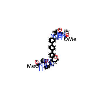 COC(=O)N[C@H](C(=O)NC1(c2nc3ccc(-c4ccc(-c5ccc6c(c5)OCCc5nc([C@@H]7CCCN7C(=O)[C@@H](NC(=O)OC)C(C)C)[nH]c5-6)cc4)cc3[nH]2)CC1)C(C)C